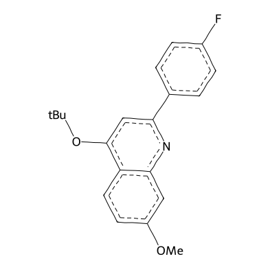 COc1ccc2c(OC(C)(C)C)cc(-c3ccc(F)cc3)nc2c1